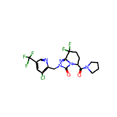 O=C(C1CCC(F)(F)c2nn(Cc3ncc(C(F)(F)F)cc3Cl)c(=O)n21)N1CCCC1